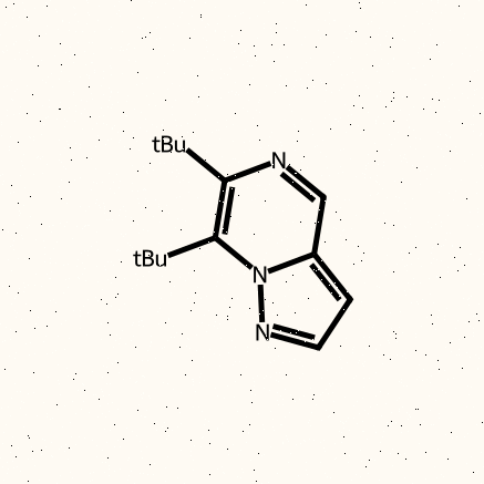 CC(C)(C)c1ncc2ccnn2c1C(C)(C)C